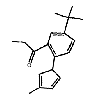 CCC(=O)c1cc(C(C)(C)C)ccc1C1C=CC(C)=C1